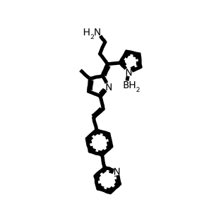 Bn1cccc1/C(CCN)=C1N=C(/C=C/c2ccc(-c3ccccn3)cc2)C=C\1C